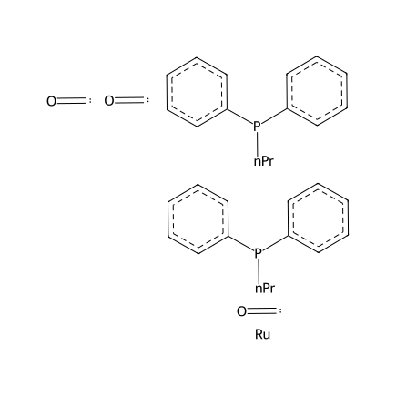 CCCP(c1ccccc1)c1ccccc1.CCCP(c1ccccc1)c1ccccc1.[C]=O.[C]=O.[C]=O.[Ru]